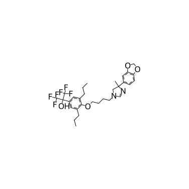 CCCc1cc(C(O)(C(F)(F)F)C(F)(F)F)cc(CCC)c1OCCCCN1C=NC(C)(c2ccc3c(c2)OCO3)C1